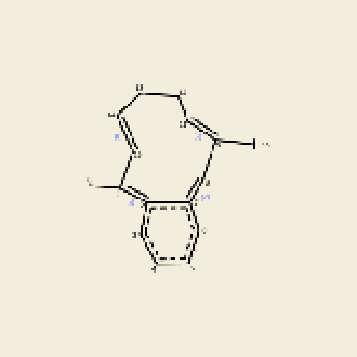 CC1=c2\cccc\c2=C\C(I)=C\CC\C=C\1